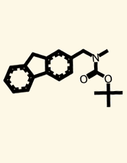 CN(Cc1ccc2c(c1)Cc1ccccc1-2)C(=O)OC(C)(C)C